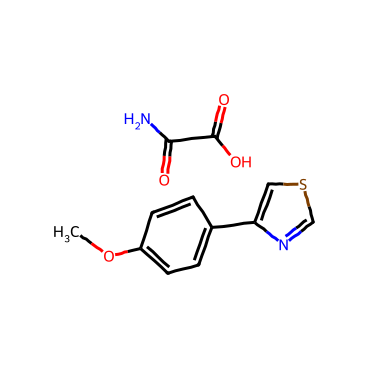 COc1ccc(-c2cscn2)cc1.NC(=O)C(=O)O